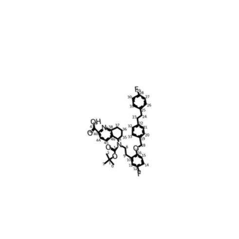 CC(C)(C)OC(=O)N(CCc1cc(F)ccc1OCc1ccc(CCc2ccc(F)cc2)cc1)C1CCCc2nc(C(=O)O)ccc21